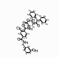 O=C(NCc1cccc(O)c1)c1ccc(C(=O)N[C@@H](CNC(=O)C(c2ccccc2)c2ccccc2)C(=O)O)c(Cl)c1